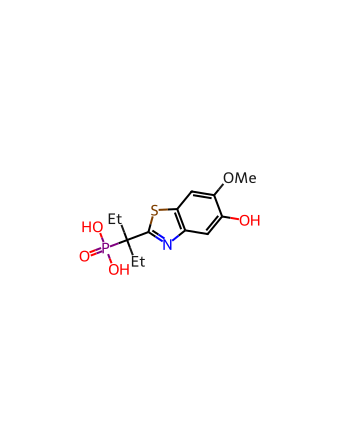 CCC(CC)(c1nc2cc(O)c(OC)cc2s1)P(=O)(O)O